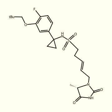 C[C@H]1C(=O)NC(=O)N1C/C=C/CCS(=O)(=O)NC1(c2ccc(F)c(OCC(C)(C)C)c2)CC1